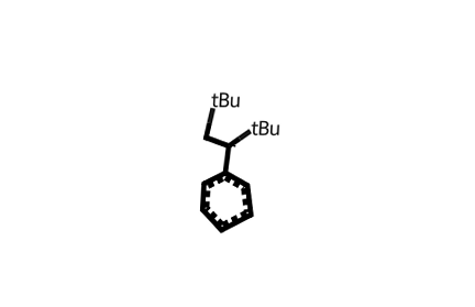 CC(C)(C)C[C](c1ccccc1)C(C)(C)C